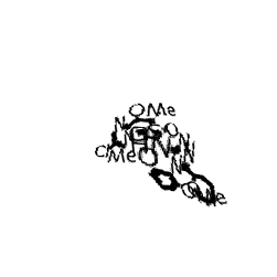 COc1cccc(OC)c1-n1c(NS(=O)(=O)[C@@H](C)[C@H](OC)c2ncc(Cl)cn2)nnc1C1CCCCO1